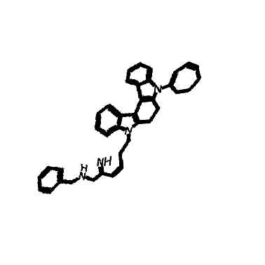 N=C(/C=C\CCn1c2c(c3ccccc31)-c1c(n(C3=CC=CCCC3)c3ccccc13)CC2)CNCc1ccccc1